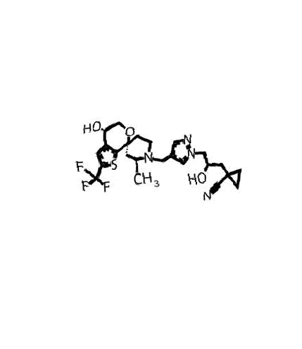 C[C@H]1C[C@@]2(CCN1Cc1cnn(CC(O)CC3(C#N)CC3)c1)OC[C@@H](O)c1cc(C(F)(F)F)sc12